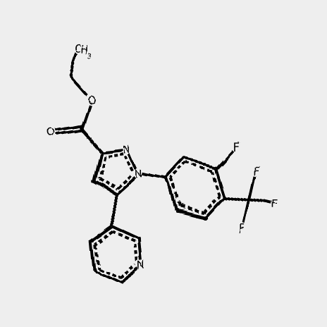 CCOC(=O)c1cc(-c2cccnc2)n(-c2ccc(C(F)(F)F)c(F)c2)n1